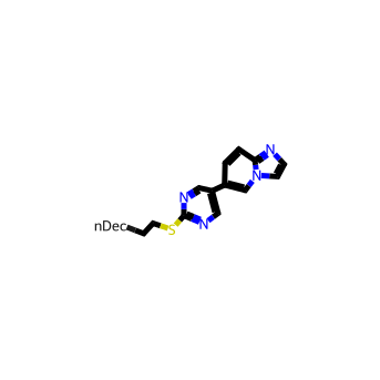 CCCCCCCCCCCCSc1ncc(-c2ccc3nccn3c2)cn1